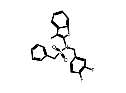 Cc1c(N(Cc2ccc(F)c(F)c2)S(=O)(=O)Cc2ccccc2)sc2ccccc12